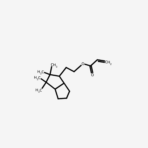 C=CC(=O)OCCC1C2CCCC2C(C)(C)C1(C)C